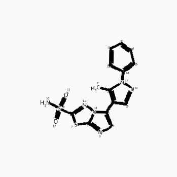 Cc1c(-c2cnc3sc(S(N)(=O)=O)nn23)cnn1-c1ccccc1